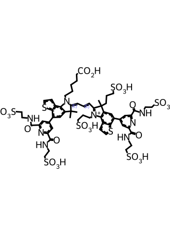 CC1(CCCS(=O)(=O)O)C(/C=C/C=C2/N(CCCCCC(=O)O)c3c(cc(-c4cc(C(=O)NCCS(=O)(=O)O)nc(C(=O)NCCS(=O)(=O)O)c4)c4sccc34)C2(C)C)=[N+](CCCS(=O)(=O)O)c2c1cc(-c1cc(C(=O)NCCS(=O)(=O)O)nc(C(=O)NCCS(=O)(=O)O)c1)c1sccc21